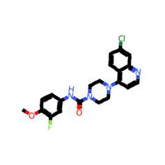 COc1ccc(NC(=O)N2CCN(c3ccnc4cc(Cl)ccc34)CC2)cc1F